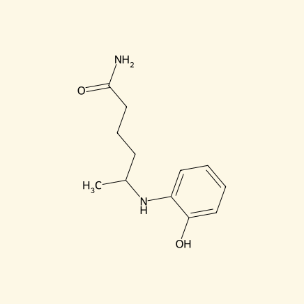 CC(CCCC(N)=O)Nc1ccccc1O